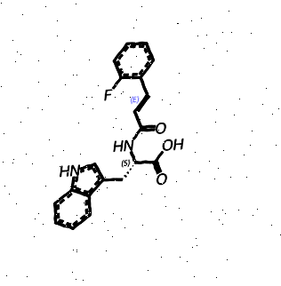 O=C(/C=C/c1ccccc1F)N[C@@H](Cc1c[nH]c2ccccc12)C(=O)O